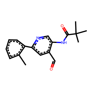 Cc1ccccc1-c1cc(C=O)c(NC(=O)C(C)(C)C)cn1